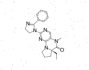 CC[C@@]12CCCN1c1nc(N3CCN=C3c3ccccc3)ncc1N(C)C2=O